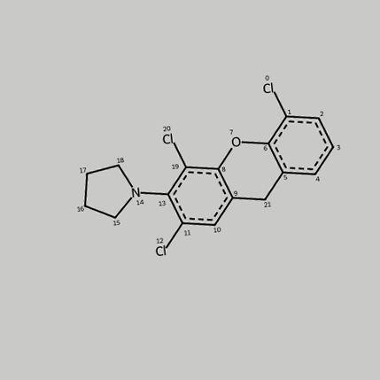 Clc1cccc2c1Oc1c(cc(Cl)c(N3CCCC3)c1Cl)C2